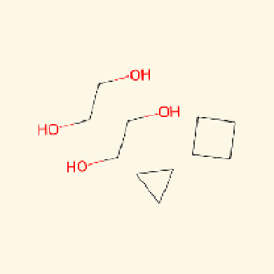 C1CC1.C1CCC1.OCCO.OCCO